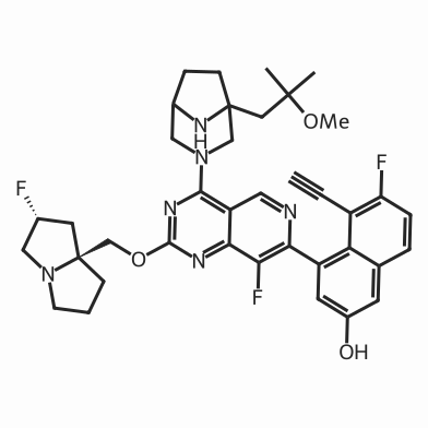 C#Cc1c(F)ccc2cc(O)cc(-c3ncc4c(N5CC6CCC(CC(C)(C)OC)(C5)N6)nc(OC[C@@]56CCCN5C[C@H](F)C6)nc4c3F)c12